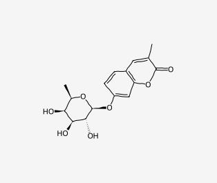 Cc1cc2ccc(O[C@@H]3O[C@H](C)[C@H](O)[C@H](O)[C@H]3O)cc2oc1=O